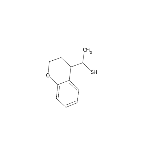 CC(S)C1CCOc2ccccc21